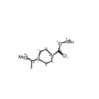 CCCCOC(=O)N1CCN(C(C)SC)CC1